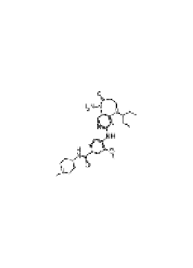 CCC(CC)N1CCC(=O)N(N)c2cnc(Nc3ccc(C(=O)NC4CCN(C)CC4)cc3OC)nc21